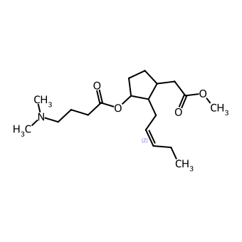 CC/C=C\CC1C(CC(=O)OC)CCC1OC(=O)CCCN(C)C